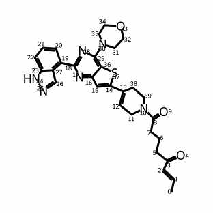 C/C=C/C(=O)CCCC(=O)N1CC=C(c2cc3nc(-c4cccc5[nH]ncc45)nc(N4CCOCC4)c3s2)CC1